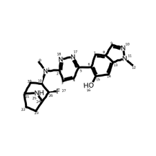 CN(c1ccc(-c2cc3cnn(C)c3cc2O)nn1)[C@@H]1CC2CCC(N2)[C@@H]1F